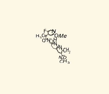 COc1cc([C@@H](C)C(=O)N2CC[C@@]3(CCc4cc(-c5coc(C)n5)c(C)nc4N3)C2)c(F)cn1